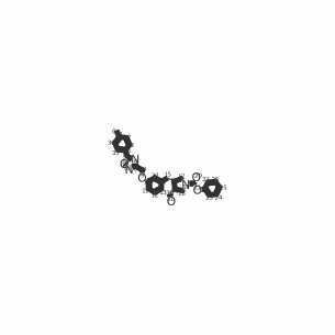 Cc1ccc(-c2nc(COc3cccc(C[C@@H]4CN(C(=O)Oc5ccccc5)C[C@@H]4C=O)c3)no2)cc1